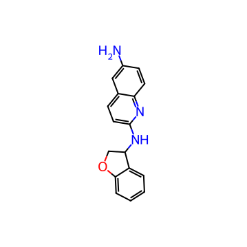 Nc1ccc2nc(NC3COc4ccccc43)ccc2c1